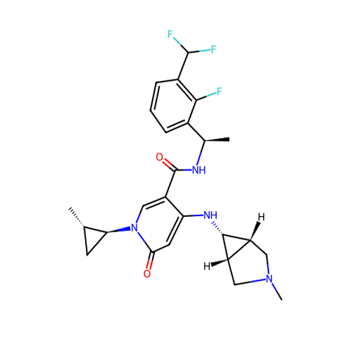 C[C@@H](NC(=O)c1cn([C@H]2C[C@@H]2C)c(=O)cc1N[C@@H]1[C@@H]2CN(C)C[C@@H]21)c1cccc(C(F)F)c1F